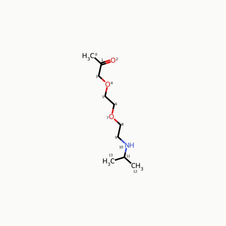 CC(=O)COCCOCCNC(C)C